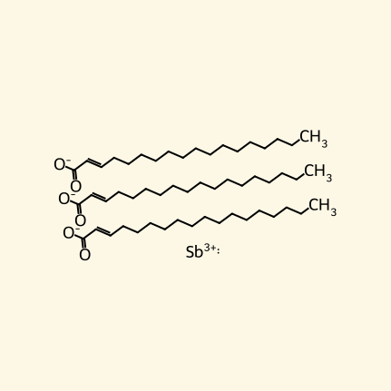 CCCCCCCCCCCCCCCC=CC(=O)[O-].CCCCCCCCCCCCCCCC=CC(=O)[O-].CCCCCCCCCCCCCCCC=CC(=O)[O-].[Sb+3]